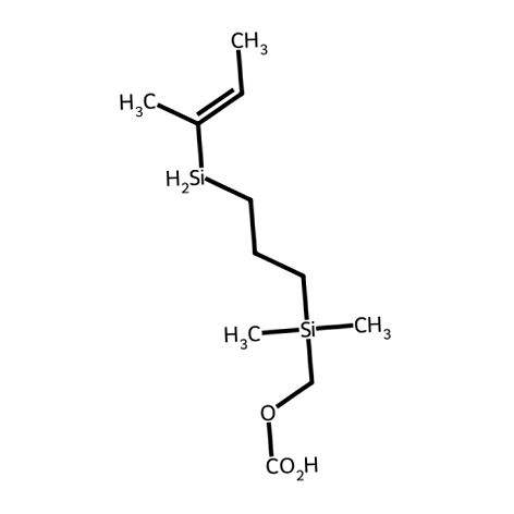 CC=C(C)[SiH2]CCC[Si](C)(C)COC(=O)O